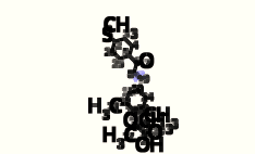 CSC1CCC(C(=O)/C=C/[C@H]2CC(C)C(OC(C)(C)C(=O)O)[C@@H](C)C2)CC1